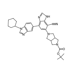 CC(C)(C)OC(=O)N1CC2CN(c3cc(-c4ccc5c(c4)ncn5C4CCCCC4)c4nc[nH]c4c3C#N)CC2C1